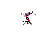 CCC(CC)=NOCC(C)Oc1ccc(OC(C)CC)cc1